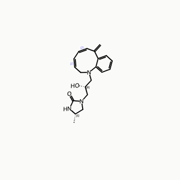 C=C1/C=C\C=C/CN(C[C@@H](O)CN2C[C@H](C)NC2=O)c2ccccc21